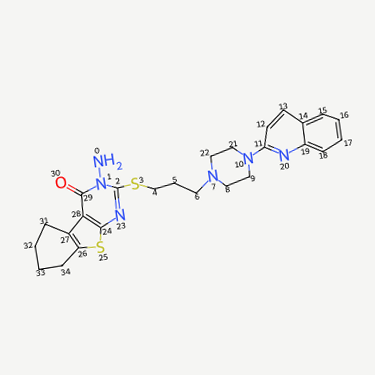 Nn1c(SCCCN2CCN(c3ccc4ccccc4n3)CC2)nc2sc3c(c2c1=O)CCCC3